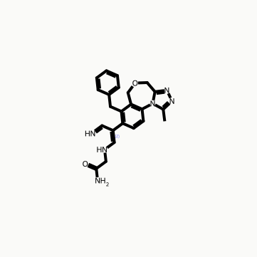 Cc1nnc2n1-c1ccc(/C(C=N)=C/NCC(N)=O)c(Cc3ccccc3)c1COC2